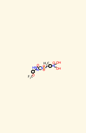 Cc1cc(N(CCO)C(=O)CO)ccc1/C=C/S(=O)(=O)N1CCC2(CC1)N=C(c1cccc(OC(F)(F)F)c1)NC2=O